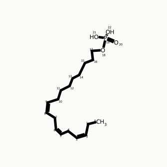 CC/C=C\C/C=C\C/C=C\CCCCCCCCOP(=O)(O)O